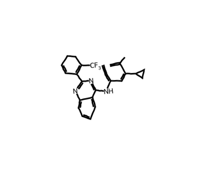 C=C=C(/C=C(\C(=C)C)C1CC1)Nc1nc(C2=C(C(F)(F)F)CCC=C2)nc2ccccc12